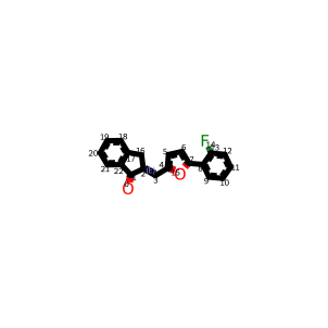 O=C1/C(=C/c2ccc(-c3ccccc3F)o2)Cc2ccccc21